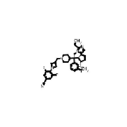 CCc1nccn1C[C@@](c1cccc(F)c1)(C1CCN(CC2CN(c3c(F)cc(C#N)cc3F)C2)CC1)[C@H]1CCC[C@@H]1OC